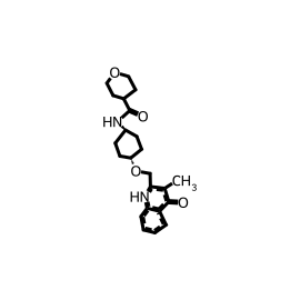 Cc1c(CO[C@H]2CC[C@H](NC(=O)C3CCOCC3)CC2)[nH]c2ccccc2c1=O